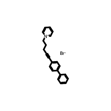 C(#Cc1ccc(-c2ccccc2)cc1)CCC[n+]1ccccc1.[Br-]